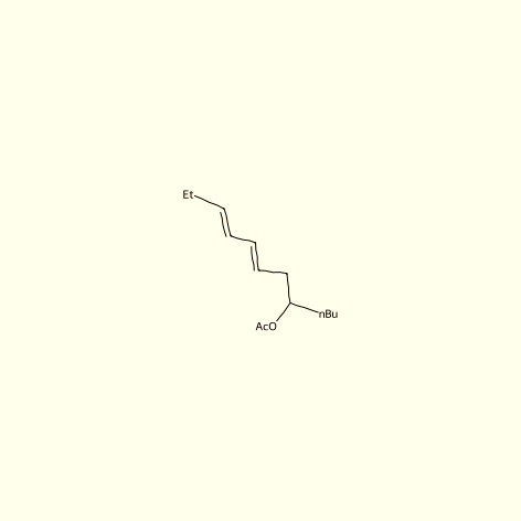 CCC=CC=CCC(CCCC)OC(C)=O